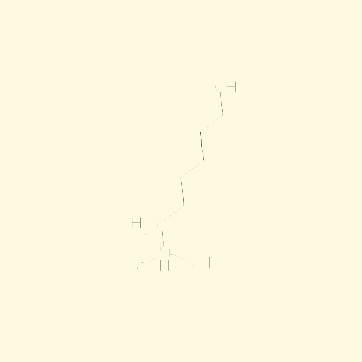 CCCCCC[SiH2][SiH](C)[SiH3]